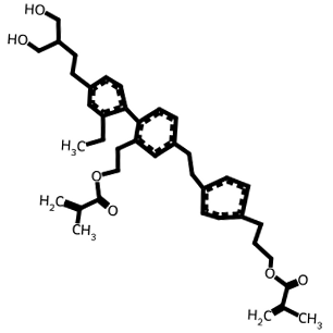 C=C(C)C(=O)OCCCc1ccc(CCc2ccc(-c3ccc(CCC(CO)CO)cc3CC)c(CCOC(=O)C(=C)C)c2)cc1